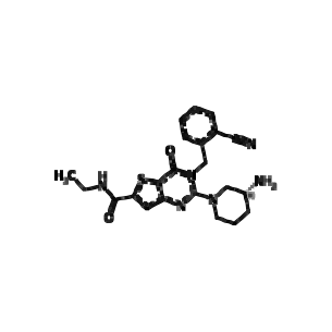 CCNC(=O)c1cc2nc(N3CCC[C@@H](N)C3)n(Cc3ccccc3C#N)c(=O)c2s1